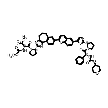 COC(=O)N[C@H](C(=O)N1CCC[C@H]1c1nc2c([nH]1)-c1ccc(-c3ccc4cc(-c5cnc([C@@H]6CCCN6C(=O)[C@H](NC(=O)OC6CCOCC6)c6ccccc6)[nH]5)ccc4n3)cc1CCC2)C(C)C